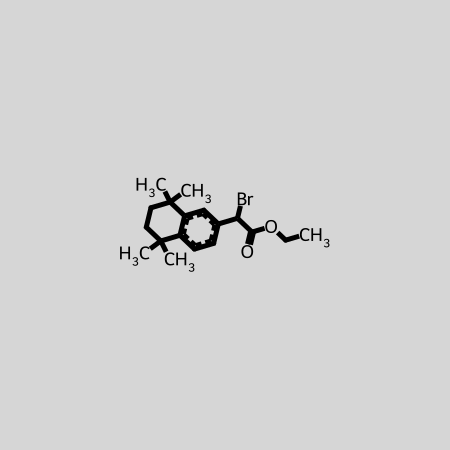 CCOC(=O)C(Br)c1ccc2c(c1)C(C)(C)CCC2(C)C